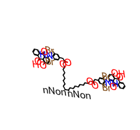 CCCCCCCCCC(CCCCCCCCOC(=O)Cc1cc(Br)c(Nc2ccc(O)c3c2C(=O)c2ccccc2C3=O)c(Br)c1)C(CCCCCCCCC)CCCCCCCCOC(=O)Cc1cc(Br)c(Nc2ccc(O)c3c2C(=O)c2ccccc2C3=O)c(Br)c1